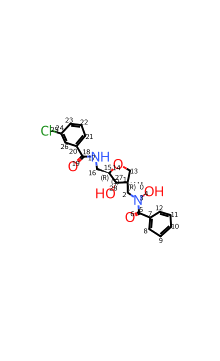 C[C@@]1(CN(O)C(=O)c2ccccc2)CO[C@H](CNC(=O)c2cccc(Cl)c2)[C@H]1O